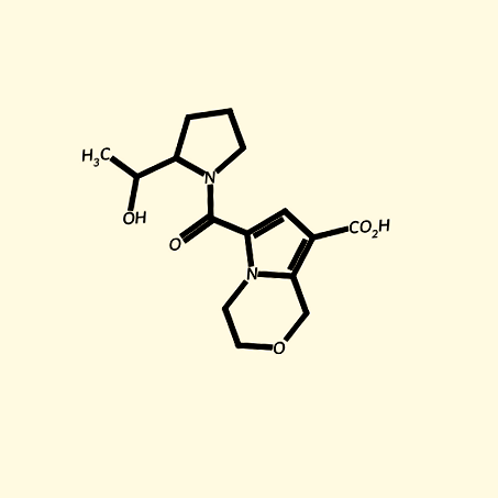 CC(O)C1CCCN1C(=O)c1cc(C(=O)O)c2n1CCOC2